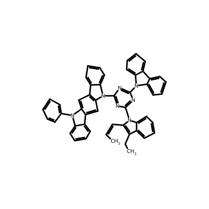 C/C=C\c1c(CC)c2ccccc2n1-c1nc(-n2c3ccccc3c3ccccc32)nc(-n2c3ccccc3c3cc4c(cc32)c2ccccc2n4-c2ccccc2)n1